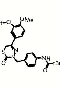 CCCCC(=O)Nc1ccc(CN2N=C(c3ccc(OC)c(OCC)c3)CSC2=O)cc1